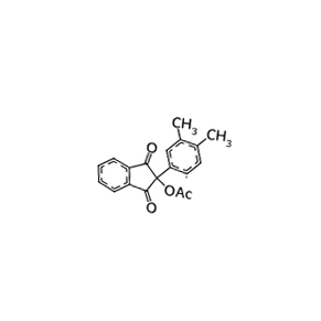 CC(=O)OC1(c2[c]cc(C)c(C)c2)C(=O)c2ccccc2C1=O